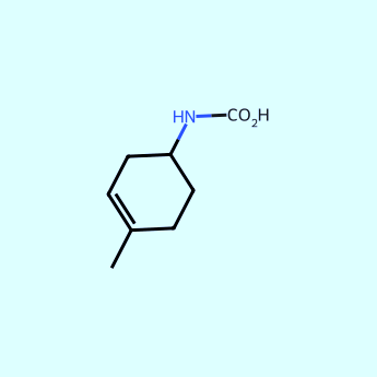 CC1=CCC(NC(=O)O)CC1